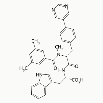 Cc1cc(C)cc(C(=O)N(C)[C@H](Cc2ccc(-c3cncnc3)cc2)C(=O)N[C@@H](Cc2c[nH]c3ccccc23)C(=O)O)c1